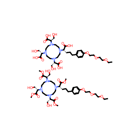 CCOCCOCCOc1ccc(CCC[C@@H](C(=O)O)N2CCN([C@H](CO)C(=O)O)CCN([C@@H](CO)C(=O)O)CCN([C@@H](CO)C(=O)O)CC2)cc1.CCOCCOCCOc1ccc(CCC[C@@H](C(=O)OC)N2CCN([C@H](CO)C(=O)OC)CCN([C@@H](CO)C(=O)OC)CCN([C@@H](CO)C(=O)OC)CC2)cc1